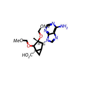 COCOC1[C@]2(C(=O)O)CC2[C@@H](n2cnc3c(N)ncnc32)[C@@]1(C)OCOC